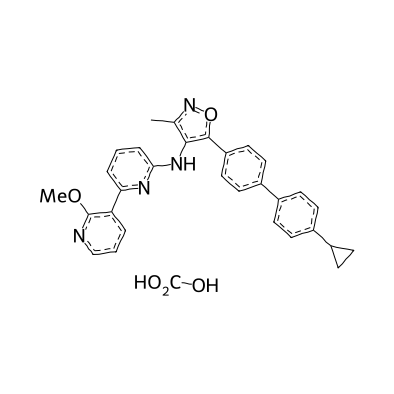 COc1ncccc1-c1cccc(Nc2c(C)noc2-c2ccc(-c3ccc(C4CC4)cc3)cc2)n1.O=C(O)O